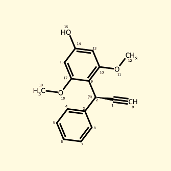 C#C[C@@H](c1ccccc1)c1c(OC)cc(O)cc1OC